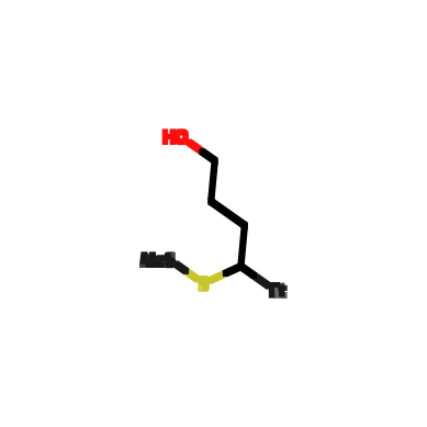 CCC(CCCO)SSC